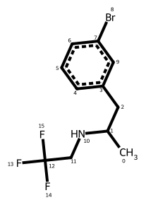 CC(Cc1cccc(Br)c1)NCC(F)(F)F